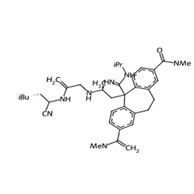 C=C(CN[C@@H](C)CC1(C(=N)NC(C)C)c2ccc(C(=C)NC)cc2CCc2cc(C(=O)NC)ccc21)NC(C#N)C[C@@H](C)CC